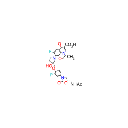 CC(=O)NC[C@H]1CN(c2ccc(OCC3(O)CCN(c4c(F)cc5c(=O)c(C(=O)O)cn6c5c4OCC6C)C3)c(F)c2)C(=O)O1